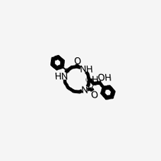 O=C1C[C@H](c2ccccc2)NCCCCN2C[C@H](CN1)[C@H]([C@H](O)c1ccccc1)C2=O